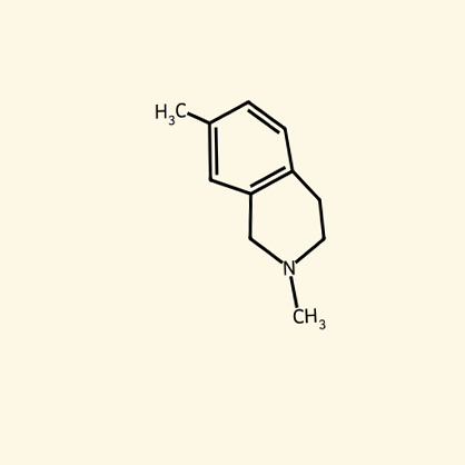 Cc1ccc2c(c1)CN(C)CC2